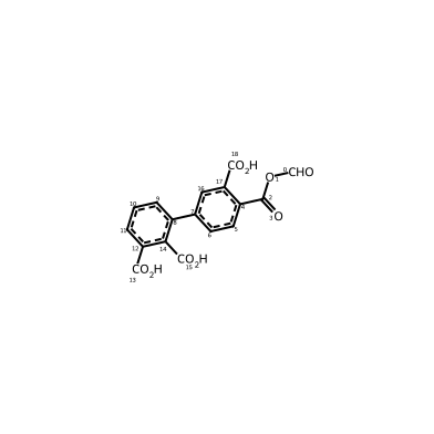 O=COC(=O)c1ccc(-c2cccc(C(=O)O)c2C(=O)O)cc1C(=O)O